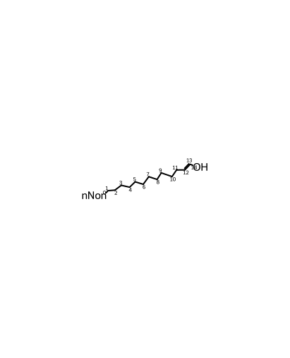 CCCCCCCCCCCCCCCCCCCCC=CO